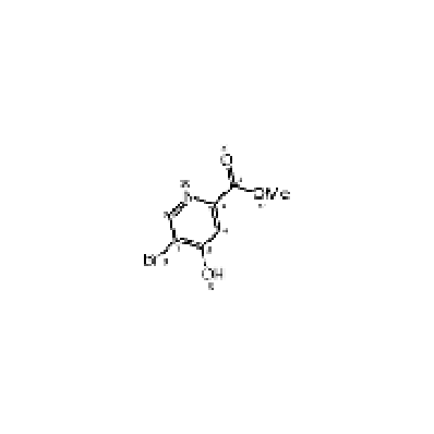 COC(=O)c1cc(O)c(Br)cn1